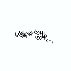 CCCS(=O)(=O)Nc1ccc(F)c(C(=O)c2c[nH]c3ncc(-c4cnc(N5CCN(C(=O)OC(C)(C)C)CC5)nc4)cc23)c1F